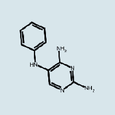 Nc1ncc(Nc2ccccc2)c(N)n1